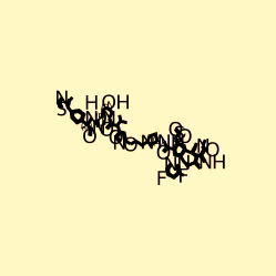 Cc1ncsc1-c1ccc([C@]2(C)NC([C@H]3C[C@@H](O)CN3C(=O)C(c3cc(OCCN4CC[C@H](NC(=O)c5cc6c(cc5CS(C)(=O)=O)-c5cn(C)c(=O)c7[nH]cc(c57)CN6c5ncc(F)cc5F)C4)no3)C(C)C)=NC2=O)cc1